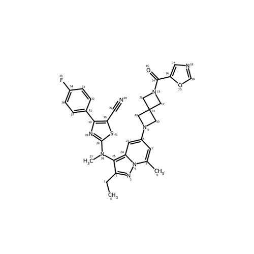 CCc1nn2c(C)cc(N3CC4(CN(C(=O)c5cnco5)C4)C3)cc2c1N(C)c1nc(-c2ccc(F)cc2)c(C#N)s1